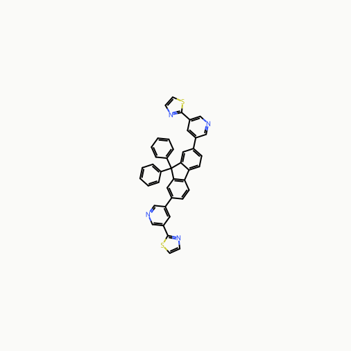 c1ccc(C2(c3ccccc3)c3cc(-c4cncc(-c5nccs5)c4)ccc3-c3ccc(-c4cncc(-c5nccs5)c4)cc32)cc1